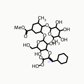 COC(=O)C1CC(C)C(OC2OC(C)C(O)C(O)C2O)C(OC2OC(CO)C(O)C(O/C(=C\C3CCCCC3)C(=O)OO)C2O)C1